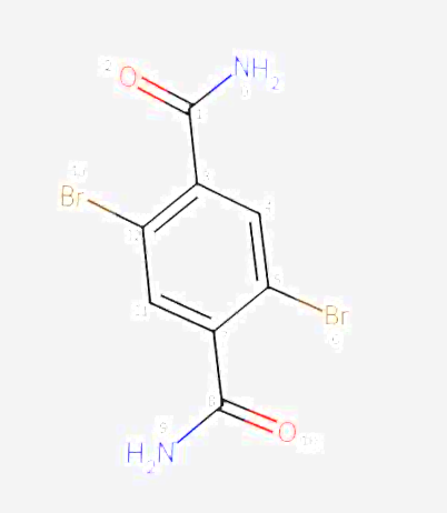 NC(=O)c1cc(Br)c(C(N)=O)cc1Br